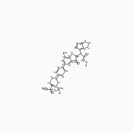 CCOC(=O)C(c1ncn2c1CCC2)N1Cc2c(F)cc(-c3ccc(C4CCN(C(=O)O)C(C(C)(C)C)C4)cc3)cc2C1=O